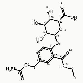 BC(=O)OCc1ccc(O[C@@H]2O[C@H](C(=O)O)[C@@H](O)[C@H](O)[C@H]2O)c(C(=O)NCC)c1